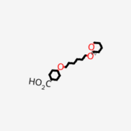 O=C(O)C1CCC(OCCCCCCO[C@H]2CCCCO2)CC1